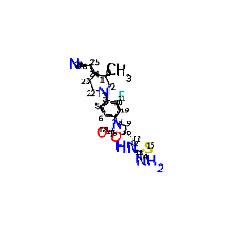 CC1CN(c2ccc(N3C[C@H](CNC(N)=S)OC3=O)cc2F)CC/C1=C\C#N